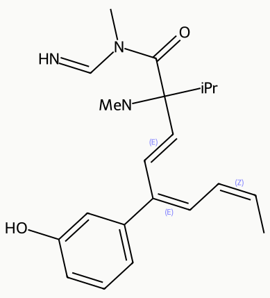 C\C=C/C=C(\C=C\C(NC)(C(=O)N(C)C=N)C(C)C)c1cccc(O)c1